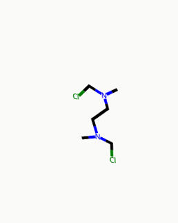 CN(CCl)CCN(C)CCl